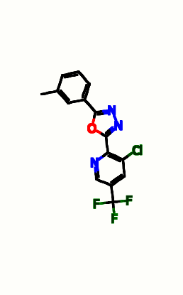 Cc1cccc(-c2nnc(-c3ncc(C(F)(F)F)cc3Cl)o2)c1